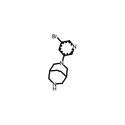 Brc1cncc(N2CC3CCC(CNC3)C2)c1